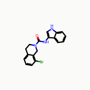 O=C(Nc1c[nH]c2ccccc12)N1CCc2cccc(Br)c2C1